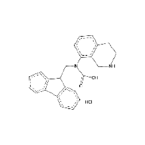 Cl.O=C(O)N(CC1c2ccccc2-c2ccccc21)c1cccc2c1CNCC2